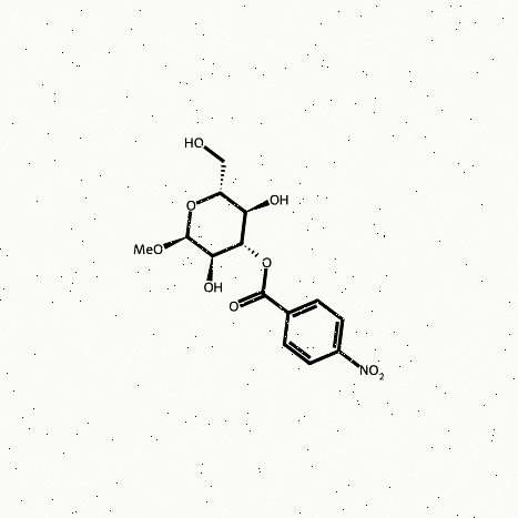 CO[C@H]1O[C@H](CO)[C@@H](O)[C@H](OC(=O)c2ccc([N+](=O)[O-])cc2)[C@H]1O